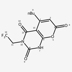 CCCCc1cc(=O)oc2[nH]c(=O)n(CC(F)(F)F)c(=O)c12